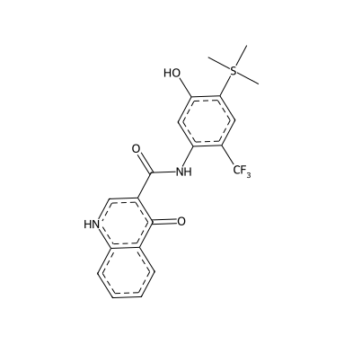 CS(C)(C)c1cc(C(F)(F)F)c(NC(=O)c2c[nH]c3ccccc3c2=O)cc1O